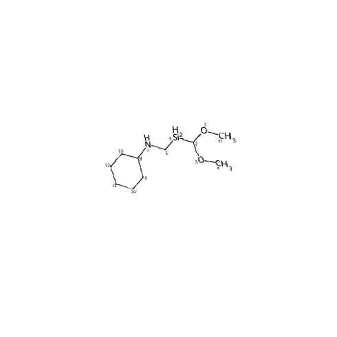 COC(OC)[SiH2]CNC1CCCCC1